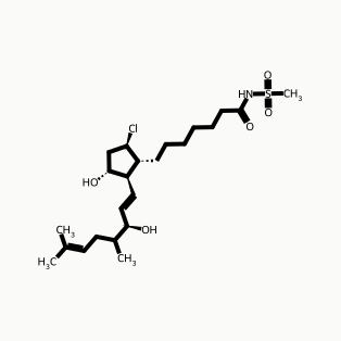 CC(C)=CCC(C)[C@H](O)C=C[C@@H]1[C@@H](CCCCCCC(=O)NS(C)(=O)=O)[C@H](Cl)C[C@H]1O